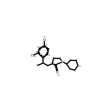 CC(CC1CCN(C2CCCCC2)C1=O)c1ccc(Cl)cc1Cl